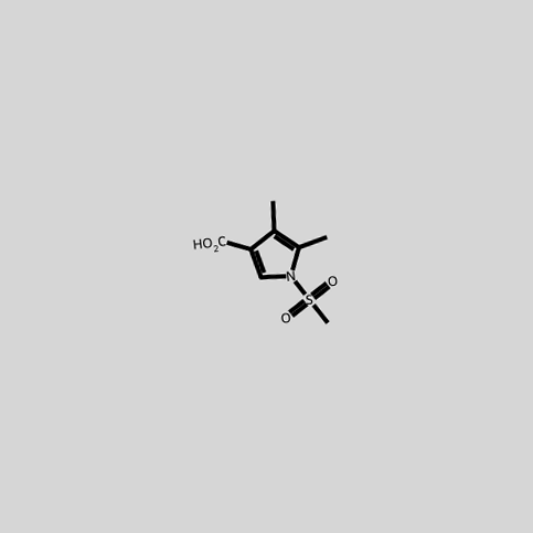 Cc1c(C(=O)O)cn(S(C)(=O)=O)c1C